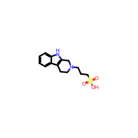 O=S(=O)(O)CCCN1CCc2c([nH]c3ccccc23)C1